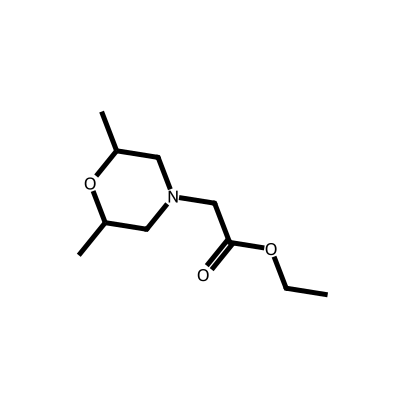 CCOC(=O)CN1CC(C)OC(C)C1